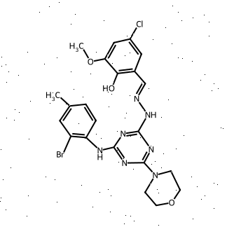 COc1cc(Cl)cc(/C=N/Nc2nc(Nc3ccc(C)cc3Br)nc(N3CCOCC3)n2)c1O